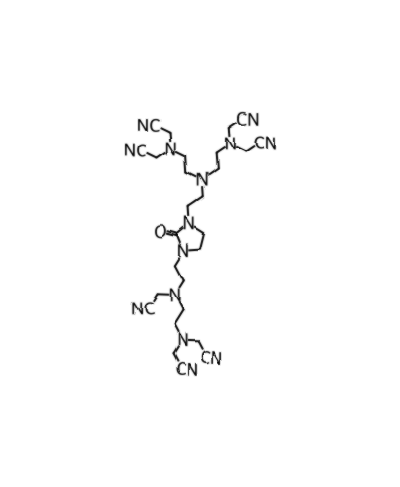 N#CCN(CC#N)CCN(CC#N)CCN1CCN(CCN(CCN(CC#N)CC#N)CCN(CC#N)CC#N)C1=O